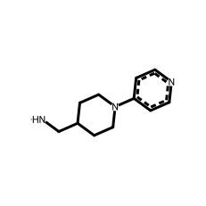 [NH]CC1CCN(c2ccncc2)CC1